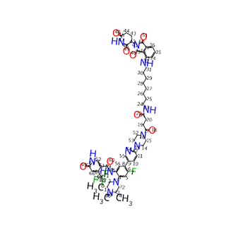 C[C@@H]1CN(c2cc(F)c(-c3ccc(N4CCN(C(=O)CCC(=O)NCCCCCCCCNc5cccc6c5C(=O)N(C5CCC(=O)NC5=O)C6=O)CC4)nc3)cc2NC(=O)c2c[nH]c(=O)cc2C(F)(F)F)C[C@H](C)N1C